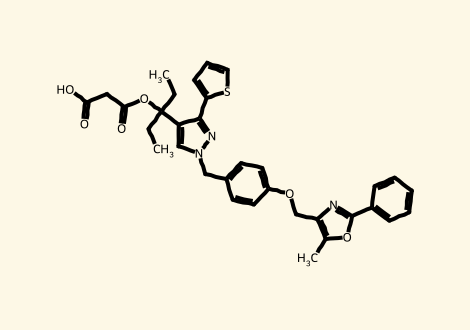 CCC(CC)(OC(=O)CC(=O)O)c1cn(Cc2ccc(OCc3nc(-c4ccccc4)oc3C)cc2)nc1-c1cccs1